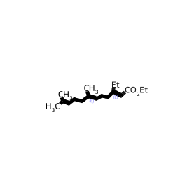 CCOC(=O)/C=C(\CC)CC/C=C(\C)CCC=C(C)C